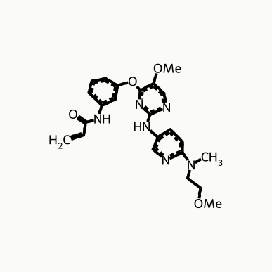 C=CC(=O)Nc1cccc(Oc2nc(Nc3ccc(N(C)CCOC)nc3)ncc2OC)c1